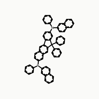 c1ccc(N(c2ccc3c(c2)C(c2ccccc2)(c2ccccc2)c2cc4cc(N(c5ccccc5)c5ccc6ccccc6c5)ccc4cc2-3)c2ccc3ccccc3c2)cc1